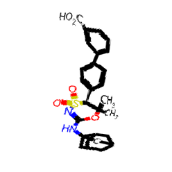 CC1(C)OC(NC23CC4CC(CC2C4)C3)=NS(=O)(=O)[C@H]1c1ccc(-c2cccc(C(=O)O)c2)cc1